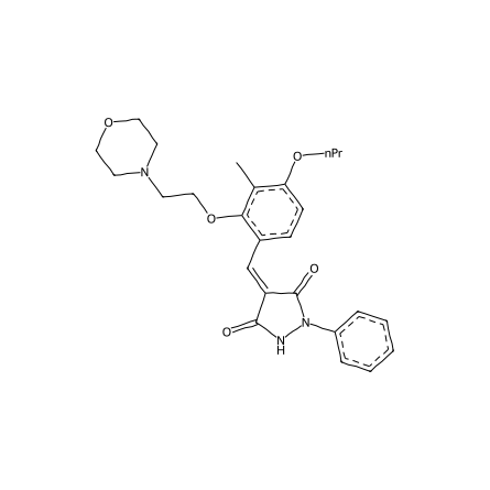 CCCOc1ccc(/C=C2/C(=O)NN(c3ccccc3)C2=O)c(OCCN2CCOCC2)c1C